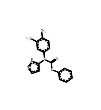 Cc1ccc(N(C(=O)Oc2ccccc2)c2ccn[nH]2)cc1C